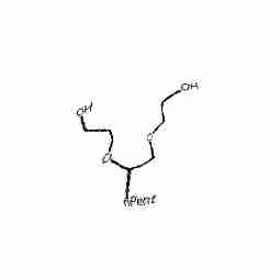 CCCCCC(COCCO)OCCO